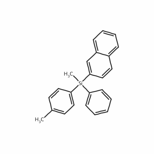 Cc1ccc([Si](C)(c2ccccc2)c2ccc3ccccc3c2)cc1